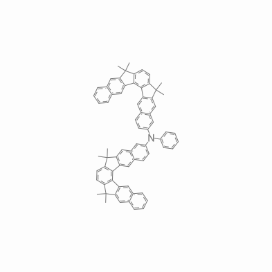 CC1(C)c2cc3ccccc3cc2-c2c1ccc1c2-c2cc3ccc(N(c4ccccc4)c4ccc5cc6c(cc5c4)C(C)(C)c4ccc5c(c4-6)-c4cc6ccccc6cc4C5(C)C)cc3cc2C1(C)C